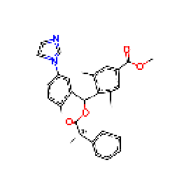 COC(=O)c1cc(C)c(C(OC(=O)[C@@H](C)c2ccccc2)c2cc(-n3ccnc3)ccc2C)c(C)c1